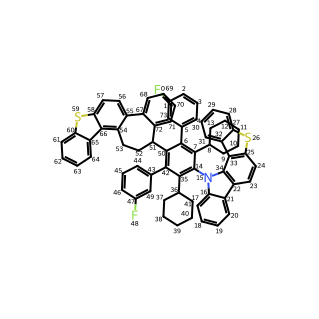 Fc1cccc(-c2c(C3CCCCC3)c(-n3c4ccccc4c4ccc5sc6ccccc6c5c43)c(C3CCCCC3)c(-c3cccc(F)c3)c2C2CCc3c(ccc4sc5ccccc5c34)-c3ccccc32)c1